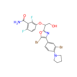 NC(=O)c1c(F)ccc(OC(CO)c2nc(-c3ccc(N4CCCC4)c(Br)c3)c(Br)o2)c1F